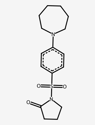 O=C1CCCN1S(=O)(=O)c1ccc(N2CCCCCC2)cc1